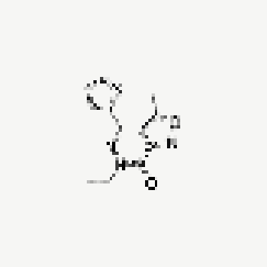 CCn1nc(-c2cccs2)c2c(C)onc2c1=O